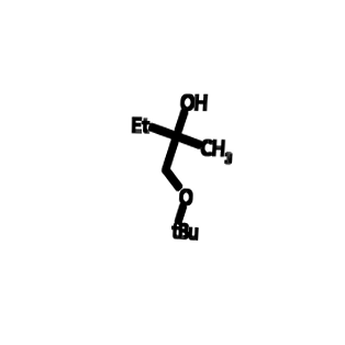 CCC(C)(O)COC(C)(C)C